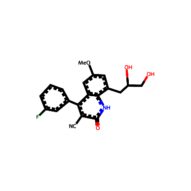 COc1cc(CC(O)CO)c2[nH]c(=O)c(C#N)c(-c3cccc(F)c3)c2c1